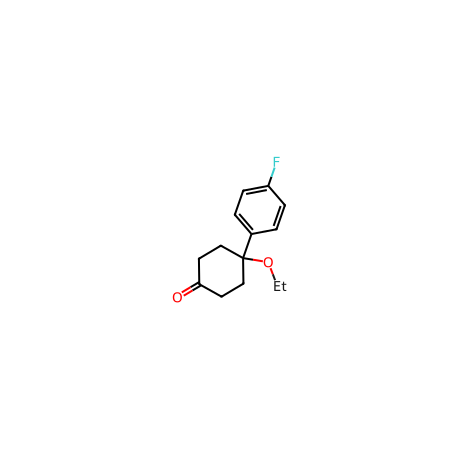 CCOC1(c2ccc(F)cc2)CCC(=O)CC1